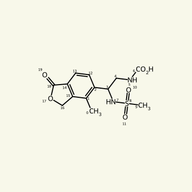 Cc1c(C(CNC(=O)O)NS(C)(=O)=O)ccc2c1COC2=O